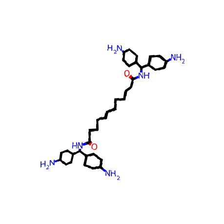 NC1CCC(C(NC(=O)CCCCCCCCCCC(=O)NC(C2CCC(N)CC2)C2CCC(N)CC2)C2CCC(N)CC2)CC1